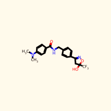 CN(C)c1ccc(C(=O)NCc2ccc(C3=NOC(O)(C(F)(F)F)C3)cc2)cc1